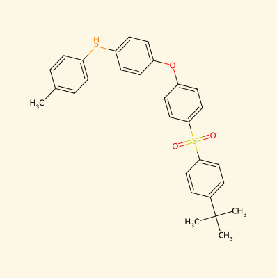 Cc1ccc(Pc2ccc(Oc3ccc(S(=O)(=O)c4ccc(C(C)(C)C)cc4)cc3)cc2)cc1